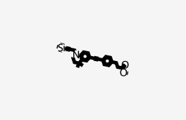 COC(=O)CCc1ccc(C#Cc2ccc3c(c2)C(C)(C)CCN3CC#C[Si](C)(C)C)cc1